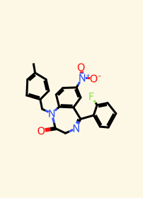 Cc1ccc(CN2C(=O)CN=C(c3ccccc3F)c3cc([N+](=O)[O-])ccc32)cc1